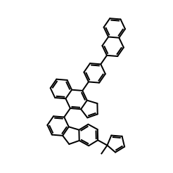 CC1(c2ccc3c(c2)Cc2cccc(-c4c5c(c(-c6ccc(-c7ccc8ccccc8c7)cc6)c6ccccc46)CC=C5)c2-3)C=CC=C1